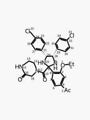 CCOc1cc(C(C)=O)ccc1C1(C(=O)N2CCNC(=O)C2)N[C@H](c2ccc(Cl)cc2)[C@H](c2ccc(Cl)cc2)N1